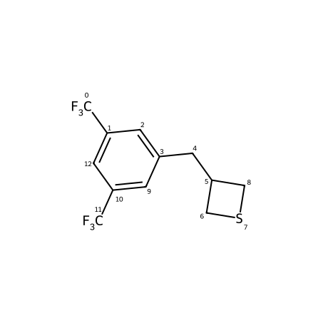 FC(F)(F)c1cc(CC2CSC2)cc(C(F)(F)F)c1